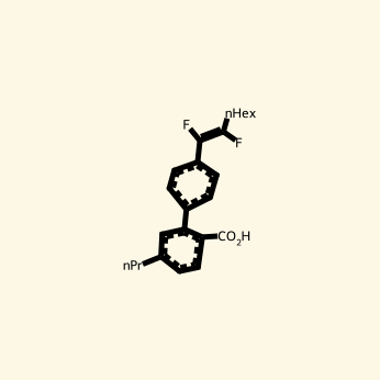 CCCCCCC(F)=C(F)c1ccc(-c2cc(CCC)ccc2C(=O)O)cc1